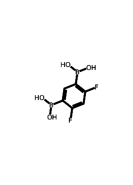 OB(O)c1cc(B(O)O)c(F)cc1F